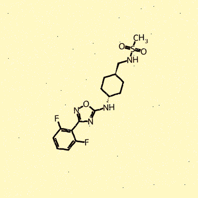 CS(=O)(=O)NC[C@H]1CC[C@H](Nc2nc(-c3c(F)cccc3F)no2)CC1